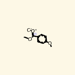 [CH2-]/[O+]=C(\OC)c1ccc(OC)cc1